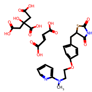 CN(CCOc1ccc(CC2SC(=O)NC2=O)cc1)c1ccccn1.O=C(O)C=CC(=O)O.O=C(O)CC(O)(CC(=O)O)C(=O)O